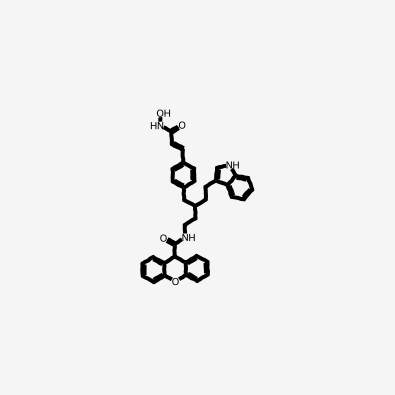 O=C(/C=C/c1ccc(CC(CCNC(=O)C2c3ccccc3Oc3ccccc32)CCc2c[nH]c3ccccc23)cc1)NO